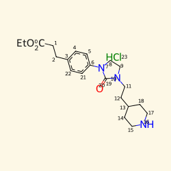 CCOC(=O)CCc1ccc(N2CCN(CCC3CCNCC3)C2=O)cc1.Cl